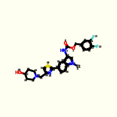 CCn1cc(NC(=O)OCc2ccc(F)c(F)c2)c2cc(-c3nc(CN4CCC(O)CC4)cs3)ccc21